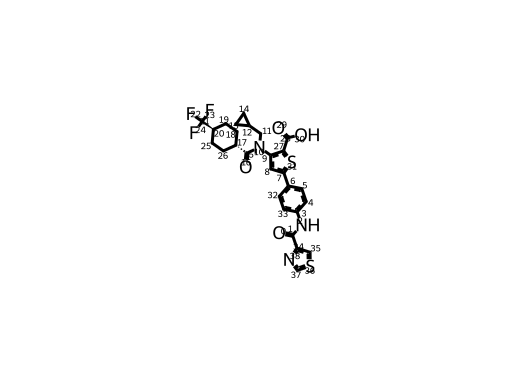 O=C(Nc1ccc(-c2cc(N(CC3CC3)C(=O)[C@H]3CC[C@H](C(F)(F)F)CC3)c(C(=O)O)s2)cc1)c1cscn1